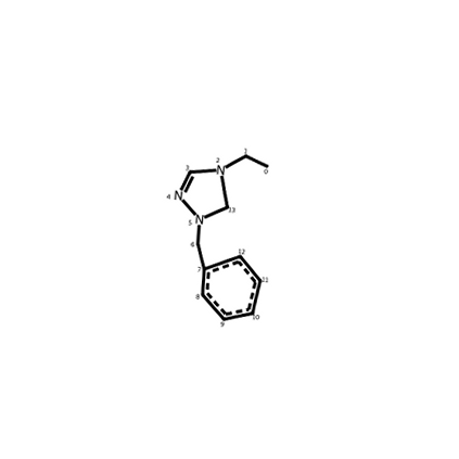 CCN1C=NN(Cc2ccccc2)C1